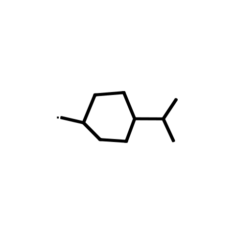 [CH2]C1CCC(C(C)C)CC1